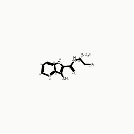 Cc1c(C(=O)N[C@@H](CC(C)C)C(=O)O)oc2cccnc12